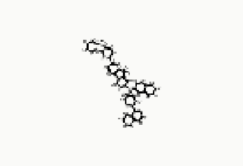 CC1(C)c2cc(-c3ccc4oc5ccccc5c4c3)ccc2-c2ccc(N(c3ccc4ccccc4c3)C3(C)C=CC(c4cccc5c4C=CCC5)=CC3)cc21